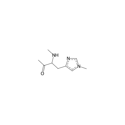 CNC(Cc1cn(C)cn1)C(C)=O